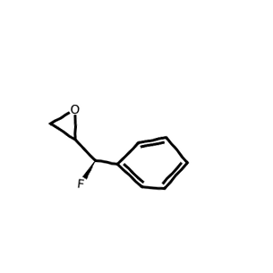 F[C@H](c1ccccc1)C1CO1